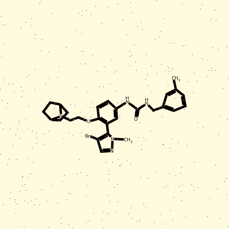 Cc1cccc(CNC(=O)Nc2ccc(OCCN3C4CCC3CC4)c(-c3c(Br)cnn3C)c2)c1